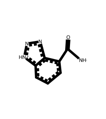 [NH]C(=O)c1cccc2[nH]nnc12